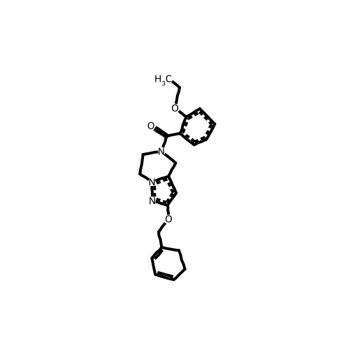 CCOc1ccccc1C(=O)N1CCn2nc(OCC3=CC=CCC3)cc2C1